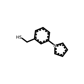 SCc1cccc(-n2cccc2)c1